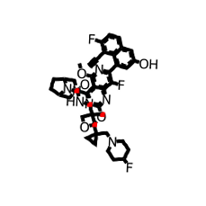 C#Cc1c(F)ccc2cc(O)cc(-c3nc(OC)c4c(N5CC6CCC(C5)N6C(=O)NCC5(C)COC5)nc(OCC5(CN6CCC(F)CC6)CC5)nc4c3F)c12